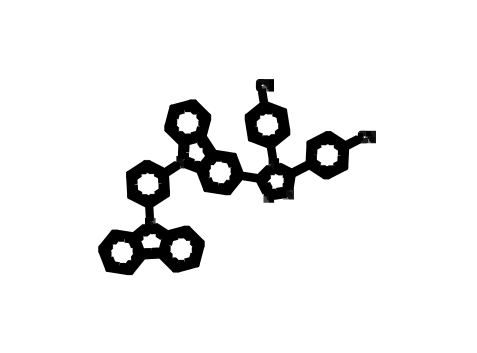 N#Cc1ccc(-c2nnc(-c3ccc4c(c3)c3ccccc3n4-c3cccc(-n4c5ccccc5c5ccccc54)c3)n2-c2ccc(C#N)cc2)cc1